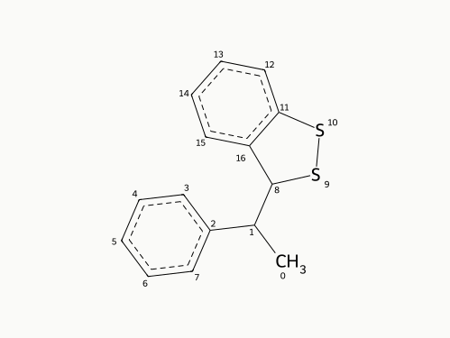 CC(c1ccccc1)C1SSc2ccccc21